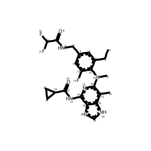 CCc1cc(CNC(=O)C(F)F)cc(F)c1N(C)c1nc(NC(=O)C2CC2)c2nc[nH]c2c1C